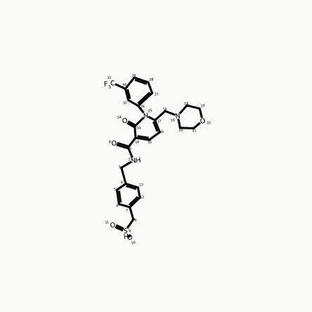 O=C(NCc1ccc(C[SH](=O)=O)cc1)c1ccc(CN2CCOCC2)n(-c2cccc(C(F)(F)F)c2)c1=O